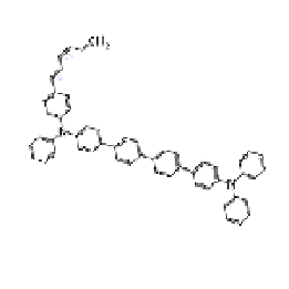 C=C/C=C\C=C\c1ccc(N(c2ccccc2)c2ccc(-c3ccc(-c4ccc(-c5ccc(N(c6ccccc6)c6ccccc6)cc5)cc4)cc3)cc2)cc1